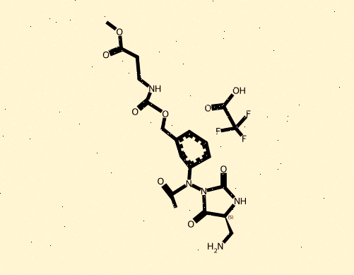 COC(=O)CCNC(=O)OCc1cccc(N(C(C)=O)N2C(=O)N[C@@H](CN)C2=O)c1.O=C(O)C(F)(F)F